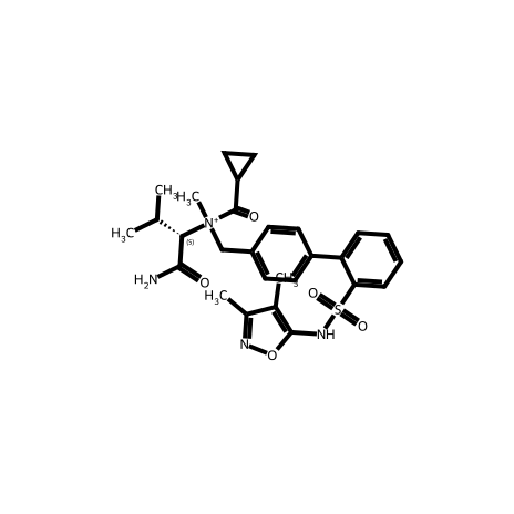 Cc1noc(NS(=O)(=O)c2ccccc2-c2ccc(C[N+](C)(C(=O)C3CC3)[C@H](C(N)=O)C(C)C)cc2)c1C